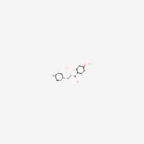 CCOc1cc(C)c(C(=O)/C=C/c2ccc(C)cc2)c(O)c1